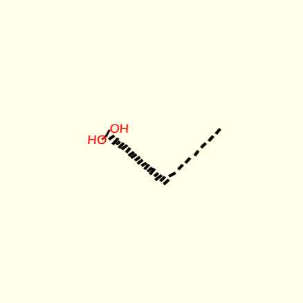 C=C.C=C.C=C.C=C.C=C.C=C.C=C.C=C.C=C.C=C.C=C.C=C.C=C.C=C.C=C.C=C.C=C.C=C.C=C.C=C.C=C.C=C.C=C.C=C.C=C.OCCO